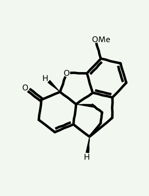 COc1ccc2c3c1O[C@H]1C(=O)CC=C4[C@H](CCC[C@]431)C2